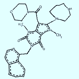 Cn1c(N2CCCNCC2)c(C(=O)N2CCOCC2)c2c1c(=O)n(Cc1nccc3ccccc13)c(=O)n2C